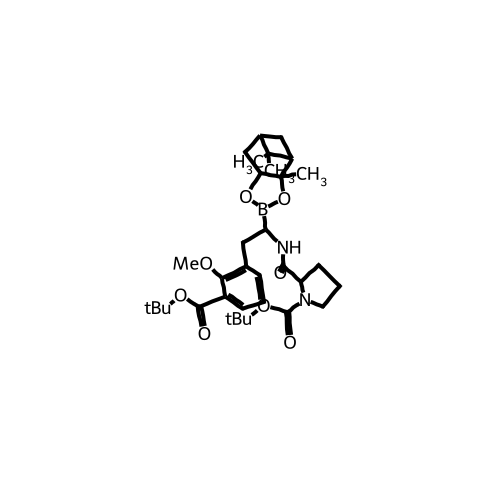 COc1c(CC(NC(=O)C2CCCN2C(=O)OC(C)(C)C)B2OC3CC4CC(C4(C)C)C3(C)O2)cccc1C(=O)OC(C)(C)C